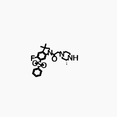 C[C@@H]1CN(CC(=O)N2CC(C)(C)c3cc(F)c(S(=O)(=O)c4ccccc4)cc32)CCN1